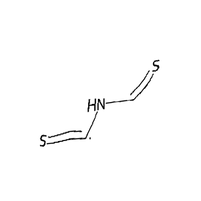 S=[C]NC=S